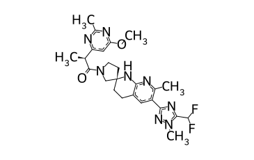 COc1cc([C@H](C)C(=O)N2CC[C@@]3(CCc4cc(-c5nc(C(F)F)n(C)n5)c(C)nc4N3)C2)nc(C)n1